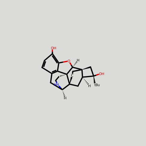 CC(C)(C)[C@]1(O)C[C@]23CC[C@@]4(C[C@@H]21)[C@H]1Cc2ccc(O)c5c2[C@@]4(CCN1)[C@H]3O5